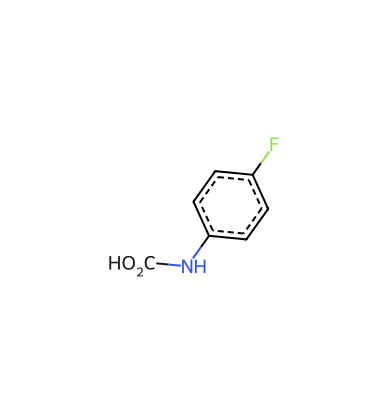 O=C(O)Nc1ccc(F)cc1